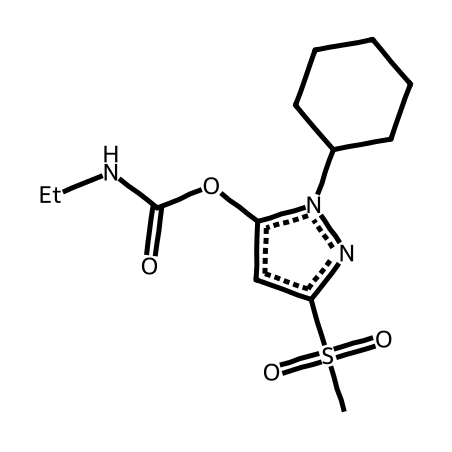 CCNC(=O)Oc1cc(S(C)(=O)=O)nn1C1CCCCC1